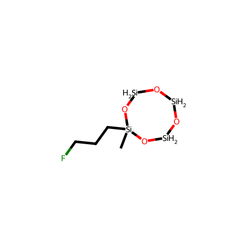 C[Si]1(CCCF)O[SiH2]O[SiH2]O[SiH2]O1